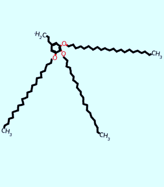 [CH2]CCc1cc(OCCCCCCCCCCCCCCCCCCCCCC)c(OCCCCCCCCCCCCCCCCCCCCCC)c(OCCCCCCCCCCCCCCCCCCCCCC)c1